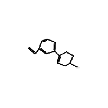 C=Cc1cccc(C2=CCC(CC)CC2)c1